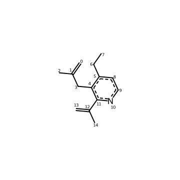 C=C(C)Cc1c(CC)ccnc1C(=C)C